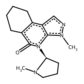 CN1CCC[C@@H]1n1c(=O)c2c(c3cnn(C)c31)CCCC2